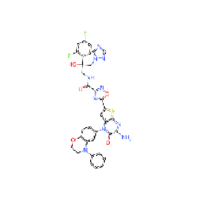 Nc1nc2sc(-c3nc(C(=O)NCC(O)(Cn4cncn4)c4ccc(F)cc4F)no3)cc2n(-c2ccc3c(c2)N(c2ccccc2)CCO3)c1=O